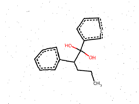 CCCC(c1ccccc1)C(O)(O)c1ccccc1